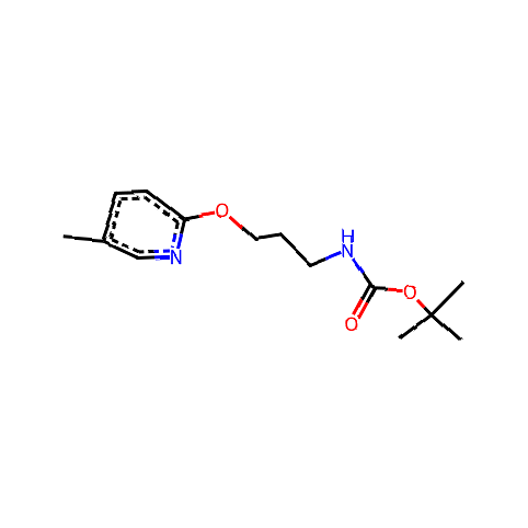 Cc1ccc(OCCCNC(=O)OC(C)(C)C)nc1